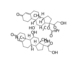 CCCC(=O)O[C@]1(C(=O)CO)CC[C@H]2[C@@H]3CCC4=CC(=O)CC[C@]4(C)[C@H]3[C@@H](O)C[C@@]21C.C[C@]12CCC(=O)C=C1CC[C@@H]1[C@@H]2[C@@H](O)C[C@@]2(C)[C@H]1CC[C@]2(O)C(=O)CO